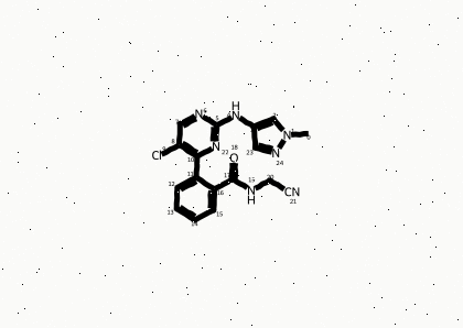 Cn1cc(Nc2ncc(Cl)c(-c3ccccc3C(=O)NCC#N)n2)cn1